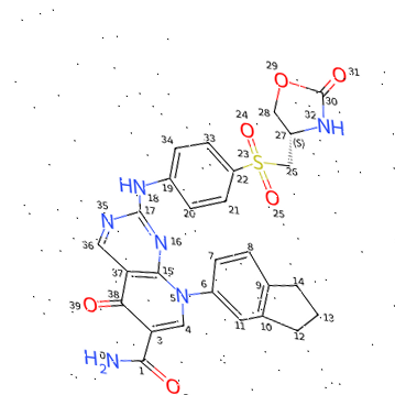 NC(=O)c1cn(-c2ccc3c(c2)CCC3)c2nc(Nc3ccc(S(=O)(=O)C[C@@H]4COC(=O)N4)cc3)ncc2c1=O